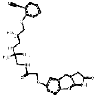 CC(C)(CNC(=O)COc1ccc2c(c1)CN1CC(=O)NC1=N2)NC[C@H](O)COc1ccccc1C#N